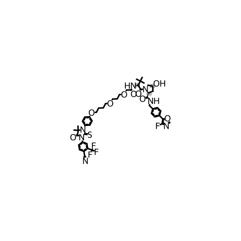 CC(C)(C)[C@H](NC(=O)COCCCOCCCCOc1ccc(N2C(=S)N(c3ccc(C#N)c(C(F)(F)F)c3)C(=O)C2(C)C)cc1)C(=O)N1C[C@H](O)C[C@H]1C(=O)NCc1ccc(-c2ocnc2F)cc1